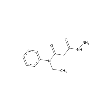 CCN(C(=O)CC(=O)NN)c1ccccc1